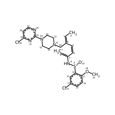 C\C=C(/C=C\C(=C/C)N[S+]([O-])c1cc(Cl)ccc1OC)CN1CCN(c2nccc(Cl)n2)CC1